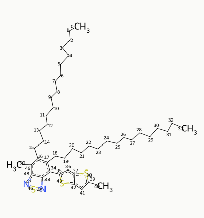 CCCCCCCCCCCCCCCCc1c(CCCCCCCCCCCCCCCC)c(-c2cc3sc(C)cc3s2)c2nsnc2c1C